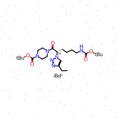 CC[C@H](C)C(C)c1cn([C@@H](CCCCNC(=O)OC(C)(C)C)C(=O)N2CCN(C(=O)OC(C)(C)C)CC2)nn1